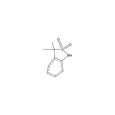 CC1(I)c2ccccc2NS1(=O)=O